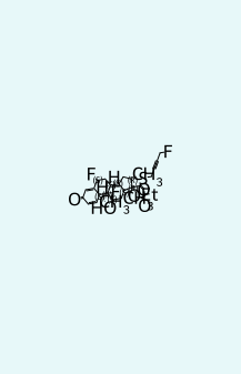 CCC(=O)O[C@]1(C(=O)SCC#CCF)[C@H](C)C[C@H]2[C@@H]3C[C@H](F)C4=CC(=O)C=C[C@]4(C)[C@@]3(F)[C@@H](O)C[C@@]21C